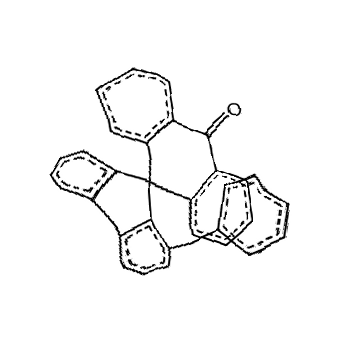 O=C1c2ccccc2C2(c3ccccc31)c1ccccc1-c1cccc(-c3ccccc3)c12